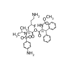 COC(=O)N[C@H](C(=O)OC(=O)[C@H](CC(F)CCN)N(C(C)C)S(=O)(=O)c1ccc(N)cc1)C(c1ccccc1)c1ccccc1